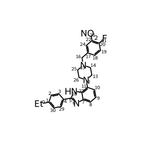 CCc1ccc(-c2nc3cccc(N4CCN(Cc5ccc(F)c([N+](=O)[O-])c5)CC4)c3[nH]2)cc1